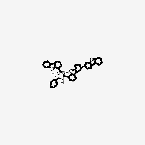 NC(NC(NCc1ccccc1)c1cccc2c1oc1ccc(-c3ccc4c(c3)oc3ccccc34)cc12)c1cccc2c1oc1ccccc12